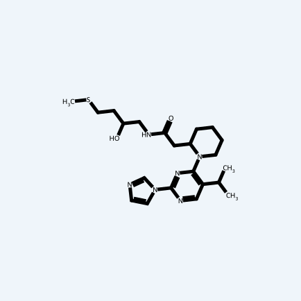 CSCCC(O)CNC(=O)CC1CCCCN1c1nc(-n2ccnc2)ncc1C(C)C